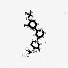 CC(=O)NC1CCN(c2ccnc(-c3ccc(OC(F)(F)F)c(F)c3)c2)CC1F